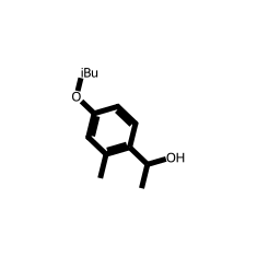 CCC(C)Oc1ccc(C(C)O)c(C)c1